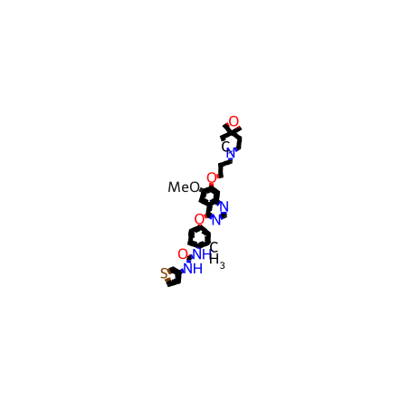 COc1cc2c(Oc3ccc(NC(=O)Nc4ccsc4)c(C)c3)ncnc2cc1OCCCN1CCC2(CC1)COC2